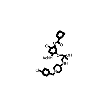 CC(=O)Nc1cc(Cl)c(OC(=O)c2ccccc2)cc1OCC(C)(O)CNC1CCN(Cc2ccc(Cl)cc2)CC1